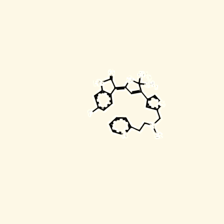 CCN(CCc1ccccn1)Cc1cc(C2=CC(=C3C(=O)Nc4cc(F)ccc43)OC2(C)C)cs1